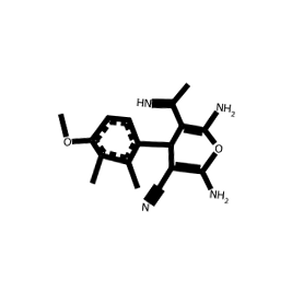 COc1ccc(C2C(C#N)=C(N)OC(N)=C2C(C)=N)c(C)c1C